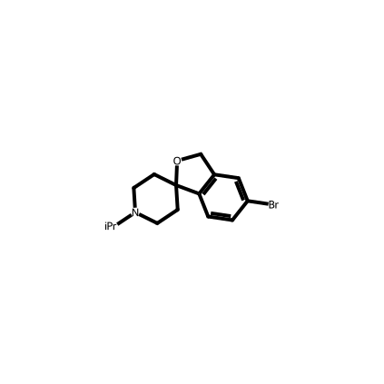 CC(C)N1CCC2(CC1)OCc1cc(Br)ccc12